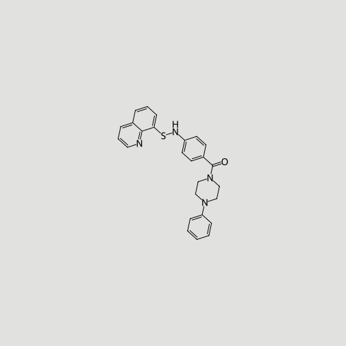 O=C(c1ccc(NSc2cccc3cccnc23)cc1)N1CCN(c2ccccc2)CC1